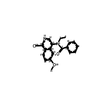 CCN(C(=O)c1ccccc1)c1cnc(Cl)c2ccc(OC)cc12